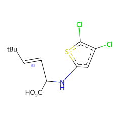 CC(C)(C)/C=C/C(Nc1cc(Cl)c(Cl)s1)C(=O)O